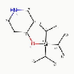 CC(C)[Si](OC1CCNCC1)(C(C)C)C(C)C